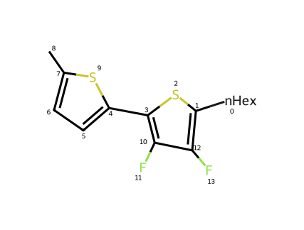 CCCCCCc1sc(-c2ccc(C)s2)c(F)c1F